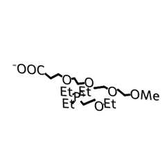 CCOCC[P+](CC)(CC)CC.COCCOCCOCCOCCC(=O)[O-]